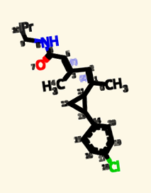 C/C(=C/C(C)=C/C(=O)NCC(C)C)C1CC1c1ccc(Cl)cc1